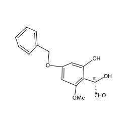 COc1cc(OCc2ccccc2)cc(O)c1[C@H](O)C=O